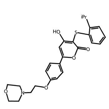 CC(C)c1ccccc1Sc1c(O)cc(-c2ccc(OCCN3CCOCC3)cc2)oc1=O